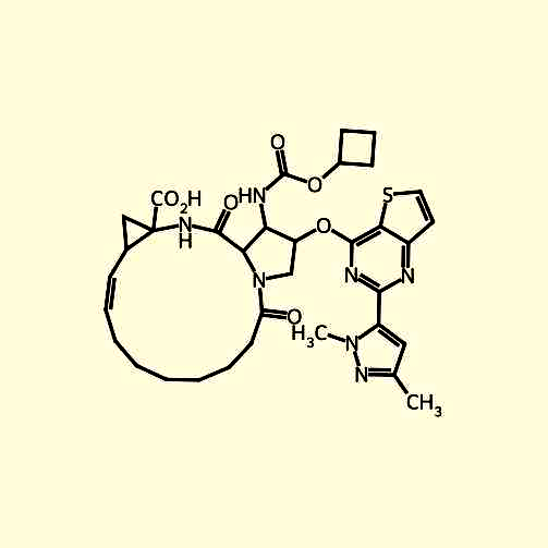 Cc1cc(-c2nc(OC3CN4C(=O)CCCCCCC=CC5CC5(C(=O)O)NC(=O)C4C3NC(=O)OC3CCC3)c3sccc3n2)n(C)n1